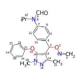 C=NOC(c1ccc(N(C=O)C(C)C)cc1)c1c(C)nn(C)c1Oc1ccccc1